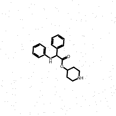 O=C(OC1CCNCC1)C(Nc1ccccc1)c1ccccc1